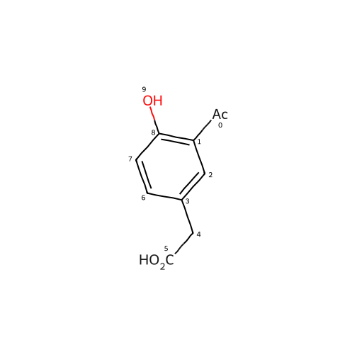 CC(=O)c1cc(CC(=O)O)ccc1O